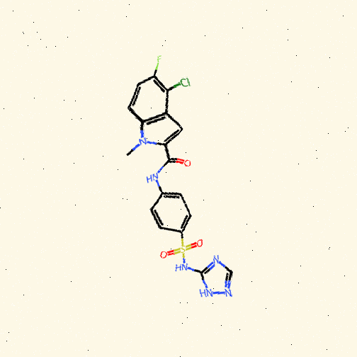 Cn1c(C(=O)Nc2ccc(S(=O)(=O)Nc3ncn[nH]3)cc2)cc2c(Cl)c(F)ccc21